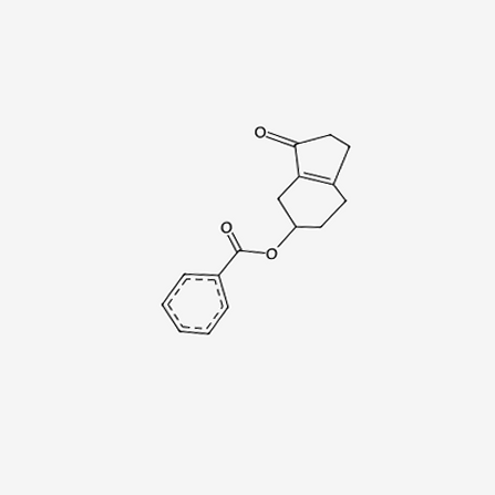 O=C1CCC2=C1CC(OC(=O)c1ccccc1)CC2